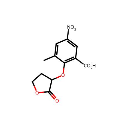 Cc1cc([N+](=O)[O-])cc(C(=O)O)c1OC1CCOC1=O